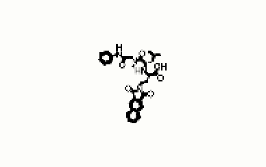 CC(C)C[C@H](N[C@H](CCN1C(=O)c2cc3ccccc3cc2C1=O)C(=O)O)C(=O)N(C)CC(=O)Nc1ccccc1